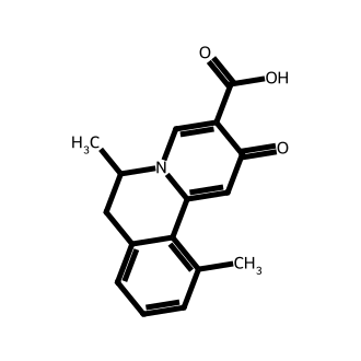 Cc1cccc2c1-c1cc(=O)c(C(=O)O)cn1C(C)C2